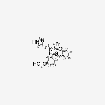 CC(C)C(NCCc1c[nH]cn1)C(=O)N(Cc1ccccc1)Cc1cccc(C(=O)O)c1